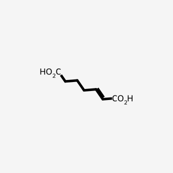 O=C(O)C=CCCCC(=O)O